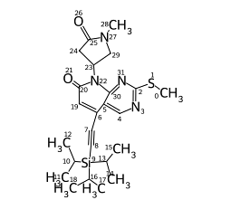 CSc1ncc2c(C#C[Si](C(C)C)(C(C)C)C(C)C)cc(=O)n(C3CC(=O)N(C)C3)c2n1